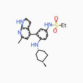 CCS(=O)(=O)Nc1ccc(N[C@H]2CC[C@H](C)CC2)c(-c2cc(C)nc3[nH]ccc23)c1